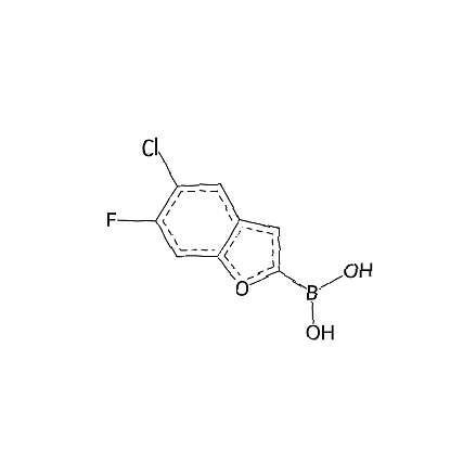 OB(O)c1cc2cc(Cl)c(F)cc2o1